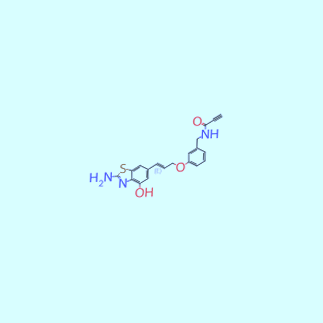 C#CC(=O)NCc1cccc(OC/C=C/c2cc(O)c3nc(N)sc3c2)c1